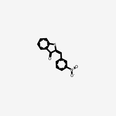 O=C1/C(=C\c2cccc([N+](=O)[O-])c2)Sc2ccccc21